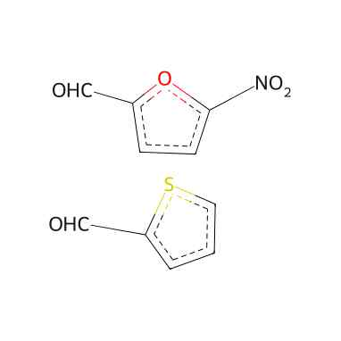 O=Cc1ccc([N+](=O)[O-])o1.O=Cc1cccs1